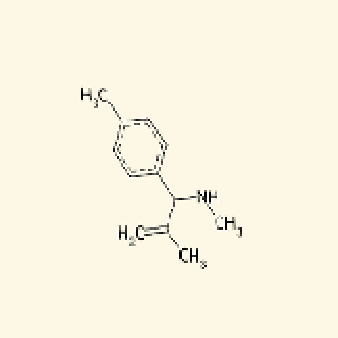 C=C(C)C(NC)c1ccc(C)cc1